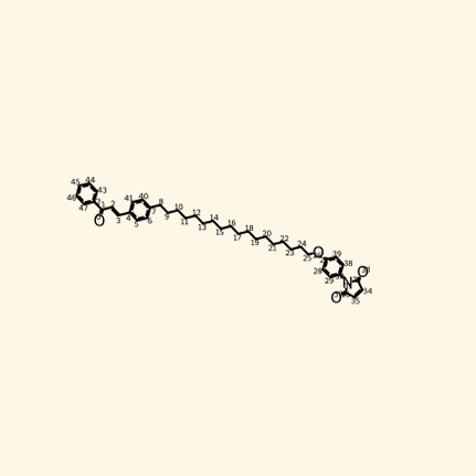 O=C(/C=C/c1ccc(CCCCCCCCCCCCCCCCCCOc2ccc(N3C(=O)C=CC3=O)cc2)cc1)c1ccccc1